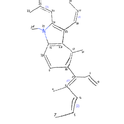 C=C/C(=C(C)\C=C/C)c1ccc2c(c1C)c(/C=C\C)c(/C=C\C)n2C